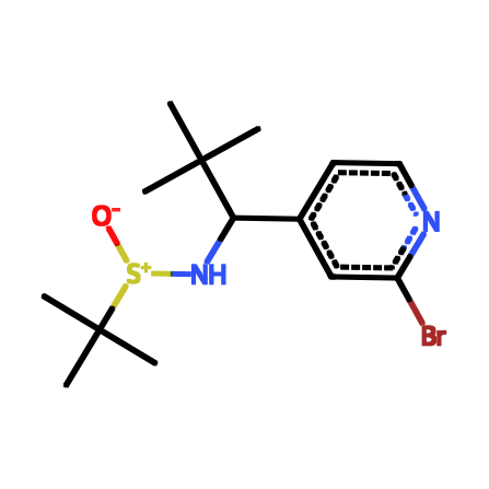 CC(C)(C)C(N[S+]([O-])C(C)(C)C)c1ccnc(Br)c1